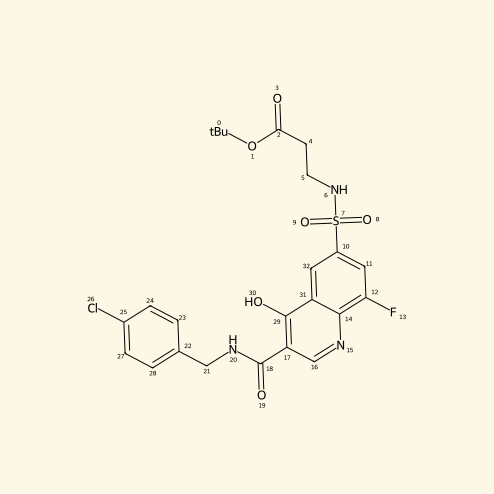 CC(C)(C)OC(=O)CCNS(=O)(=O)c1cc(F)c2ncc(C(=O)NCc3ccc(Cl)cc3)c(O)c2c1